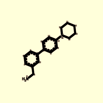 NCc1cccc(-c2ccc(N3CCCCC3)cc2)c1